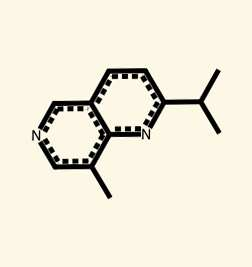 Cc1cncc2ccc(C(C)C)nc12